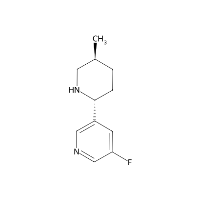 C[C@H]1CC[C@H](c2cncc(F)c2)NC1